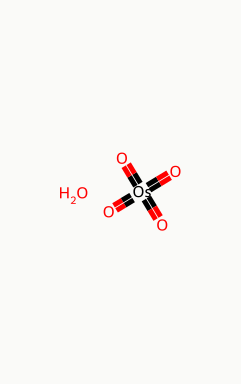 O.[O]=[Os](=[O])(=[O])=[O]